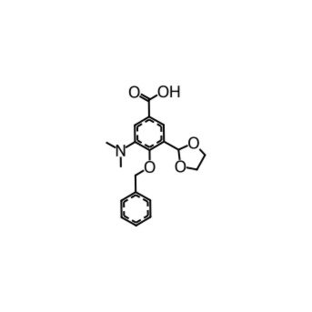 CN(C)c1cc(C(=O)O)cc(C2OCCO2)c1OCc1ccccc1